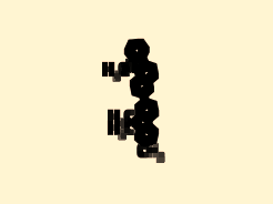 Cc1ccc2c(c1)C(C)(C)c1cc(-c3ccc4c(ccc5c6ccccc6n(C)c45)c3)ccc1-2